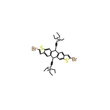 CC[Si](C#CC1c2cc3cc(Br)sc3cc2C(C#C[Si](CC)(CC)CC)c2cc3cc(Br)sc3cc21)(CC)CC